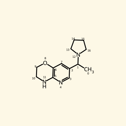 CC(c1cnc2c(c1)OCCN2)N1CCCC1